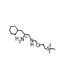 C[Si](C)(C)CCOCNC[C@@H](N)CC1CCCCC1